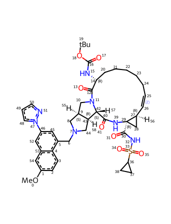 COc1ccc2c(CN3C[C@H]4CN5C(=O)[C@H](NC(=O)OC(C)(C)C)CCCCC/C=C\[C@H]6C[C@@]6(C(=O)NS(=O)(=O)C6CC6)NC(=O)[C@@H]5[C@H]4C3)cc(-n3cccn3)cc2c1